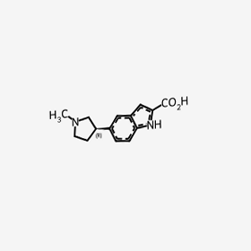 CN1CC[C@H](c2ccc3[nH]c(C(=O)O)cc3c2)C1